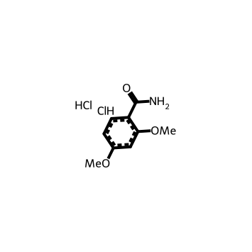 COc1ccc(C(N)=O)c(OC)c1.Cl.Cl